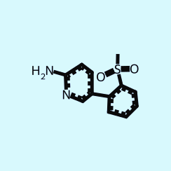 CS(=O)(=O)c1ccccc1-c1ccc(N)nc1